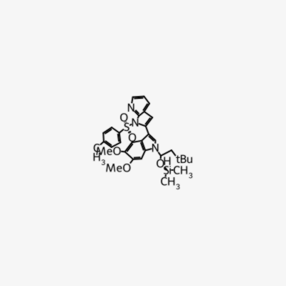 COc1cc2c(-c3cc4cccnc4n3S(=O)(=O)c3ccc(C)cc3)cn(C(CC(C)(C)C)O[SiH](C)C)c2cc1OC